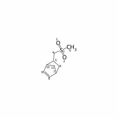 CS(=O)(=O)CC1CC2C=CC1C2